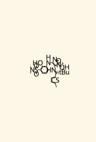 Cc1ccc([C@H](Nc2c(Nc3cccc(S(=O)(=O)N(C)C)c3O)no[n+]2O)C(C)(C)C)s1